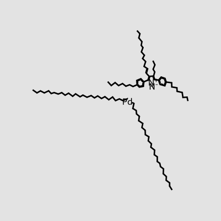 CCCCCCCCCCCC=CC1=C(c2ccc(CCCCCCCC)cc2)[N+](=[N-])C(c2ccc(CCCCCCCC)cc2)=C1CCCC.CCCCCCCCCCCCCCCCCCCCCCCCCC[CH2][Pd][CH2]CCCCCCCCCCCCCCCCCCCCCCCCCC